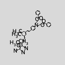 CC1(C)CC(/C=C/c2ccc(N(CCOC(=O)c3ccccc3)CCOC(=O)c3ccccc3)cc2)=CC(=C/C=C/C2=C(C#N)C(=C(C#N)C#N)OC2(C)C)/C1